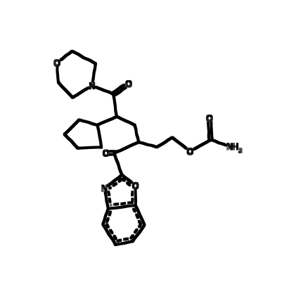 NC(=O)OCCC(CC(C(=O)N1CCOCC1)C1CCCC1)C(=O)c1nc2ccccc2o1